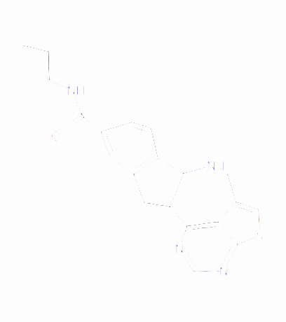 CCCNC(=O)c1ccc2c(c1)CC(c1ncnc3scc(C)c13)C2N